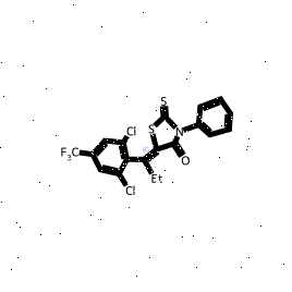 CC/C(=C1/SC(=S)N(c2ccccc2)C1=O)c1c(Cl)cc(C(F)(F)F)cc1Cl